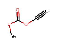 C#COC(=O)OCCC